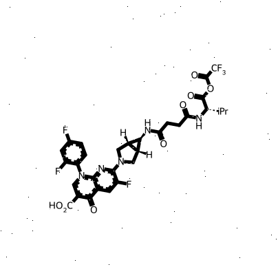 CC(C)[C@H](NC(=O)CCC(=O)N[C@H]1[C@@H]2CN(c3nc4c(cc3F)c(=O)c(C(=O)O)cn4-c3ccc(F)cc3F)C[C@@H]21)C(=O)OC(=O)C(F)(F)F